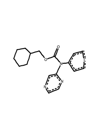 O=C(OCC1CCCCC1)N(c1ccccc1)c1cnccn1